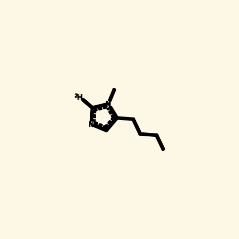 [2H]c1ncc(CCCC)n1C